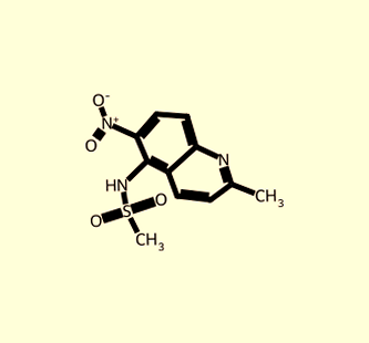 Cc1ccc2c(NS(C)(=O)=O)c([N+](=O)[O-])ccc2n1